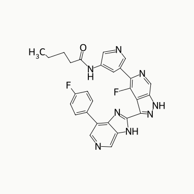 CCCCC(=O)Nc1cncc(-c2ncc3[nH]nc(-c4nc5c(-c6ccc(F)cc6)cncc5[nH]4)c3c2F)c1